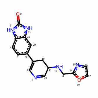 O=c1[nH]c2ccc(C3=CN=CC(NCc4ncco4)C3)cc2[nH]1